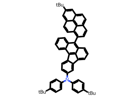 CC(C)(C)c1ccc(N(c2ccc(C(C)(C)C)cc2)c2ccc3c(c2)-c2cccc4c(-c5ccc6ccc7cc(C(C)(C)C)cc8ccc5c6c78)c5ccccc5c-3c24)cc1